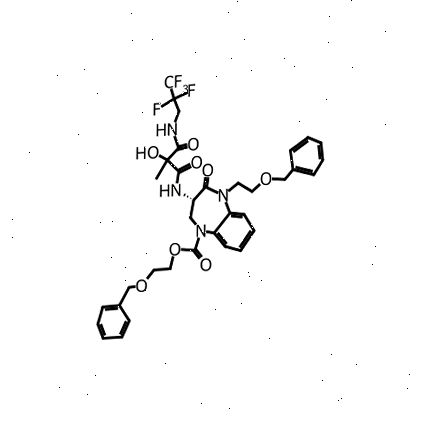 CC(O)(C(=O)NCC(F)(F)C(F)(F)F)C(=O)N[C@H]1CN(C(=O)OCCOCc2ccccc2)c2ccccc2N(CCOCc2ccccc2)C1=O